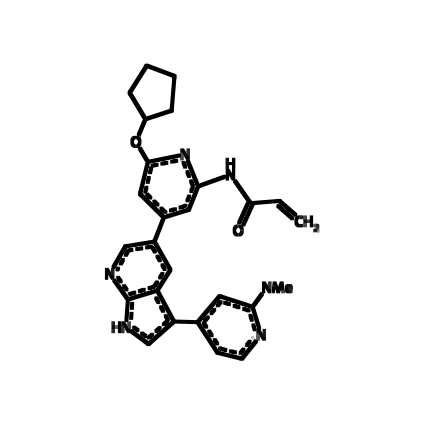 C=CC(=O)Nc1cc(-c2cnc3[nH]cc(-c4ccnc(NC)c4)c3c2)cc(OC2CCCC2)n1